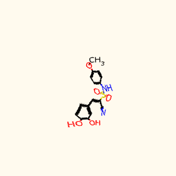 COc1ccc(NS(=O)(=O)C(C#N)=Cc2ccc(O)c(O)c2)cc1